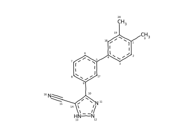 Cc1ccc(-c2cccc(-c3nn[nH]c3C#N)c2)cc1C